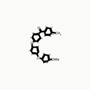 COc1ccc(Oc2ccc(Oc3ccc(C(=O)c4ccc(C)cc4)cc3)cc2)cc1